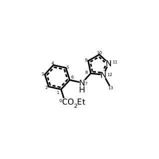 CCOC(=O)c1ccccc1Nc1ccnn1C